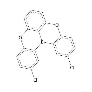 Clc1ccc2c(c1)B1c3cc(Cl)ccc3Oc3cccc(c31)O2